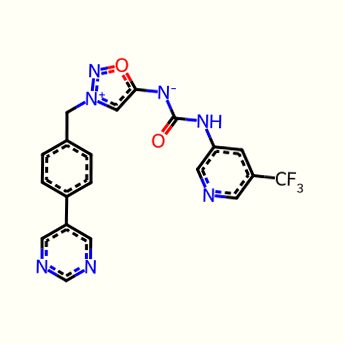 O=C([N-]c1c[n+](Cc2ccc(-c3cncnc3)cc2)no1)Nc1cncc(C(F)(F)F)c1